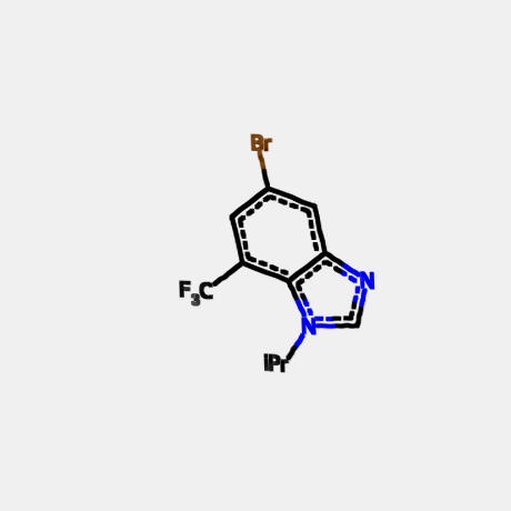 CC(C)n1cnc2cc(Br)cc(C(F)(F)F)c21